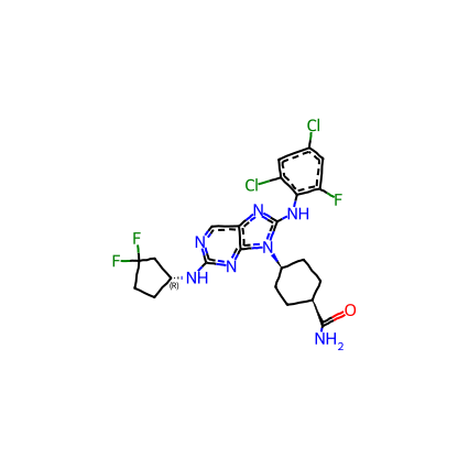 NC(=O)[C@H]1CC[C@@H](n2c(Nc3c(F)cc(Cl)cc3Cl)nc3cnc(N[C@@H]4CCC(F)(F)C4)nc32)CC1